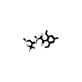 CCc1cc(C)cc(CC)c1C(=O)C(=O)N(C)N=C(CSC)C(F)(F)F